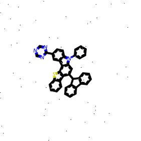 c1ccc(-n2c3ccc(-c4ncncn4)cc3c3c4sc5ccccc5c4c(C4c5ccccc5-c5ccccc54)cc32)cc1